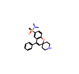 C=S(=O)(c1ccc2c(c1)C(c1ccccc1)=CC1(CCNCC1)O2)N(C)C